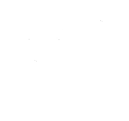 COc1ccc(CC(C)(C)NCC(O)C2CSCN2Cc2cccc(C#N)c2)cc1